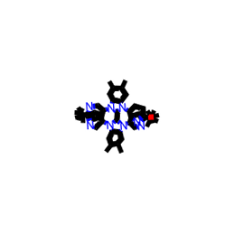 Cc1cc2c(cc1C)N(c1ccc(C(C)(C)C)nc1)C(=C1N(c3ccc(C(C)(C)C)nc3)c3cc(C)c(C)cc3N1c1ccc(C(C)(C)C)nc1)N2c1ccc(C(C)(C)C)nc1